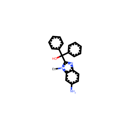 CCn1c(C(O)(c2ccccc2)c2ccccc2)nc2ccc(N)cc21